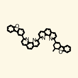 CC1CC(c2ccc3ccc4ccc(-c5ccc6ccc7ccc(-c8ccc9oc%10ccccc%10c9c8)nc7c6n5)nc4c3n2)=Cc2c1oc1ccccc21